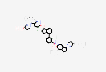 COc1nc(O[C@H]2CCc3c(-c4cccc(-c5nc6cc7c(c(C(F)(F)F)c6o5)CC[C@H]7N5CC[C@@H](C(=O)O)C5)c4Cl)cccc32)c(Cl)cc1CN1CC[C@@H](O)C1